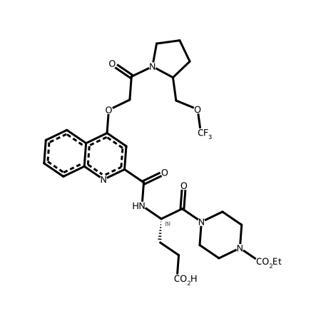 CCOC(=O)N1CCN(C(=O)[C@H](CCC(=O)O)NC(=O)c2cc(OCC(=O)N3CCCC3COC(F)(F)F)c3ccccc3n2)CC1